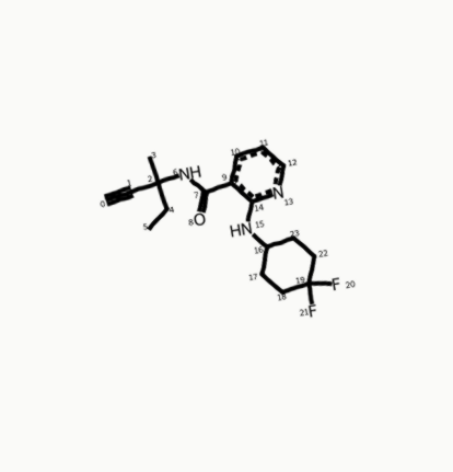 C#CC(C)(CC)NC(=O)c1cccnc1NC1CCC(F)(F)CC1